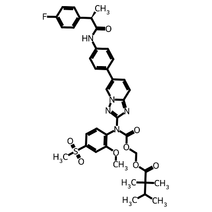 COc1cc(S(C)(=O)=O)ccc1N(C(=O)OCOC(=O)C(C)(C)C(C)C)c1nc2ccc(-c3ccc(NC(=O)[C@H](C)c4ccc(F)cc4)cc3)cn2n1